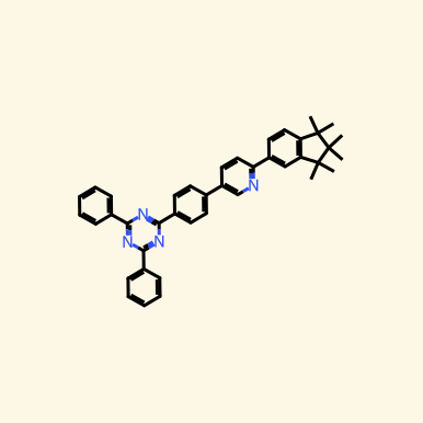 CC1(C)c2ccc(-c3ccc(-c4ccc(-c5nc(-c6ccccc6)nc(-c6ccccc6)n5)cc4)cn3)cc2C(C)(C)C1(C)C